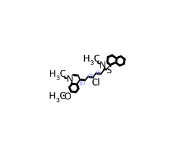 CCN1C=C\C(=C/C=C(Cl)/C=C/c2sc3c4ccccc4ccc3[n+]2CC)c2ccc(OC)cc21